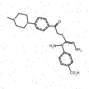 CN1CCN(c2ccc(C(=O)CS/C(=N/N)N(N)c3ccc(C(=O)O)cc3)cc2)CC1